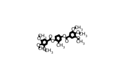 COc1cc(C(=O)Oc2ccc(OC(=O)c3cc(OC)c(OC)c(OC)c3)c(C)c2)cc(OC)c1OC